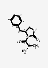 C[C@@H](C(=O)N1C(=O)OCC1Cc1ccccc1)C(C)(C)C